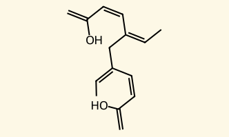 C=C(O)/C=C\C(=C/C)CC(/C=C\C(=C)O)=C/C